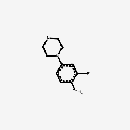 Cc1ccc(N2CC[N]CC2)cc1F